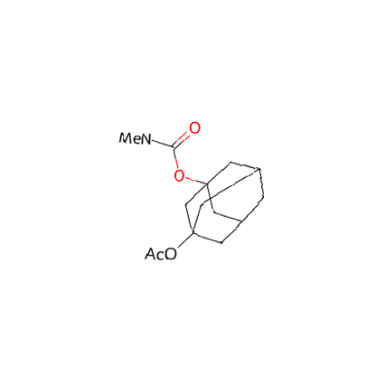 CNC(=O)OC12CC3CC(CC(OC(C)=O)(C3)C1)C2